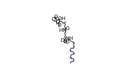 CC/C=C\C/C=C\C/C=C\C/C=C\C/C=C\C/C=C\CCC(=O)NC(CCCCNC(=O)CC/C(C)=C/Cc1c(O)c2c(c(C)c1OC)COC2=O)C(=O)OC